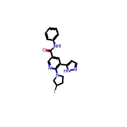 O=C(Nc1ccccc1)c1cnc(N2CCC(I)C2)c(-c2ccn[nH]2)c1